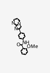 COc1ccccc1C(=O)Nc1ccc(-c2cn3cccnc3n2)cc1